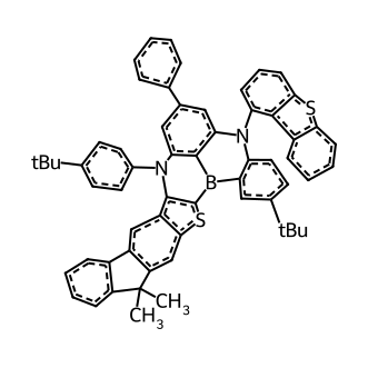 CC(C)(C)c1ccc(N2c3cc(-c4ccccc4)cc4c3B(c3cc(C(C)(C)C)ccc3N4c3cccc4sc5ccccc5c34)c3sc4cc5c(cc4c32)-c2ccccc2C5(C)C)cc1